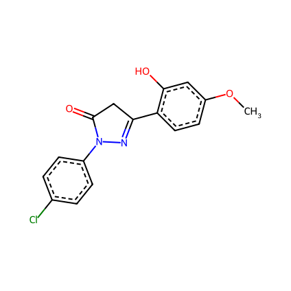 COc1ccc(C2=NN(c3ccc(Cl)cc3)C(=O)C2)c(O)c1